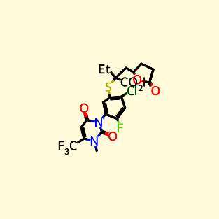 CCC(CC1CCC(=O)O1)(Sc1cc(-n2c(=O)cc(C(F)(F)F)n(C)c2=O)c(F)cc1Cl)C(=O)O